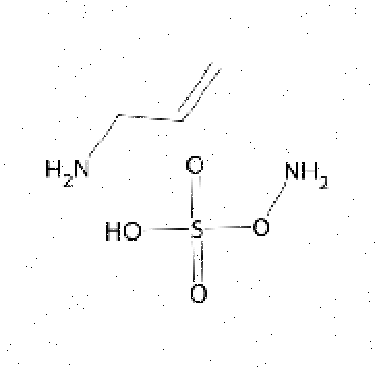 C=CCN.NOS(=O)(=O)O